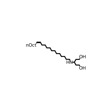 CCCCCCCC/C=C\CCCCCCCCCCCCNC(CCO)CCO